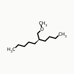 CCCCC[C@H](CCCC)COC